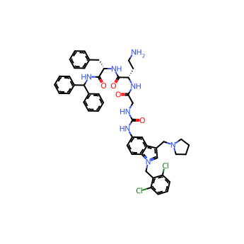 NCC[C@H](NC(=O)CNC(=O)Nc1ccc2c(c1)c(CN1CCCC1)cn2Cc1c(Cl)cccc1Cl)C(=O)N[C@@H](Cc1ccccc1)C(=O)NC(c1ccccc1)c1ccccc1